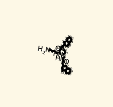 NCCCC[C@@H]1N[C@@H](CNC(=O)Cc2ccc3ccccc3c2)CCN(Cc2ccc3ccccc3c2)C1=O